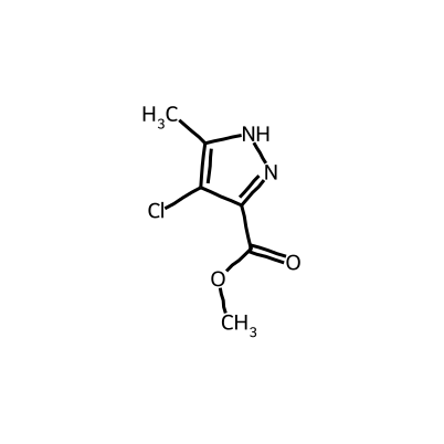 COC(=O)c1n[nH]c(C)c1Cl